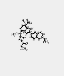 C=CC(=O)N1CC(N(C)c2ccc(C(N)=O)c3[nH]c(-c4ccc5c(c4)CCN(CC)C5)cc23)C1